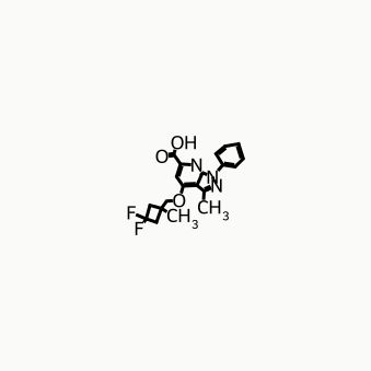 Cc1nn(-c2ccccc2)c2nc(C(=O)O)cc(OCC3(C)CC(F)(F)C3)c12